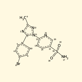 Cc1nc(-c2ccc(Br)cc2)n(-c2ccc(S(N)(=O)=O)cn2)n1